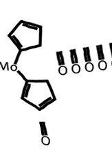 C1=CC[C]([Mo][C]2=CC=CC2)=C1.C=O.C=O.C=O.C=O.C=O.C=O